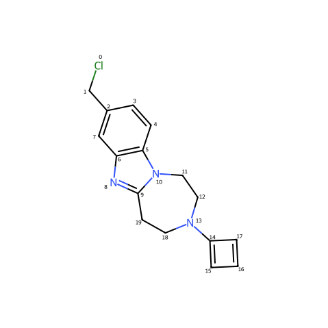 ClCc1ccc2c(c1)nc1n2CCN(C2=CC=C2)CC1